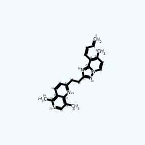 C=C/C=C\c1c(C)ccn2nc(CCc3ccc4c(C)ncc(C)c4n3)nc12